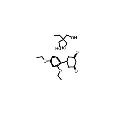 CCC(CO)(CO)CO.CCOc1ccc(C2CC(=O)CC(=O)C2)c(OCC)c1